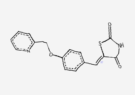 O=C1NC(=O)/C(=C/c2ccc(OCc3ccccn3)cc2)S1